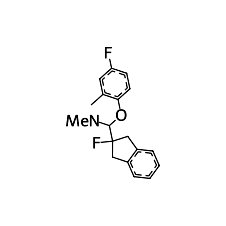 CNC(Oc1ccc(F)cc1C)C1(F)Cc2ccccc2C1